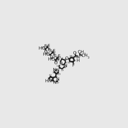 CC(C)NC(=O)c1cc(F)cc(OC2CCN(CC(CC#N)n3cc(-c4ncnc5[nH]ccc45)cn3)CC2)c1.O=C(O)C(F)(F)F.O=C(O)C(F)(F)F.O=C(O)C(F)(F)F